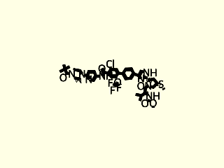 COC(=O)N[C@H](C(=O)N1C[C@@H](SC)C[C@H]1c1nc(-c2ccc(-c3cc(Cl)c(C(=O)Nc4ccc(N5CCN(C(=O)C(C)(C)C)C[C@H]5C)nc4)cc3OC(F)(F)F)cc2)c[nH]1)C(C)C